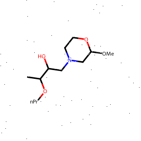 CCCOC(C)C(O)CN1CCOC(OC)C1